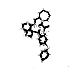 C=C(C#N)C(=O)N1CCCCCC1CNc1ncnc2[nH]cc(C(=O)c3ccc(Oc4ccccc4)cc3F)c12